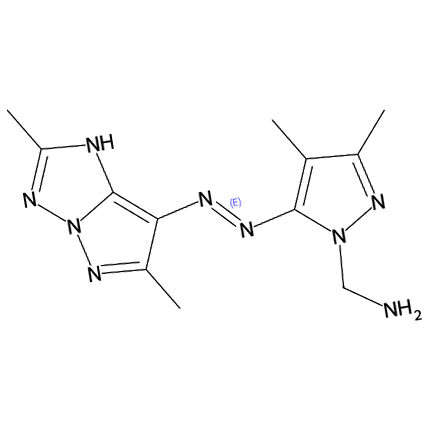 Cc1nn2nc(C)c(/N=N/c3c(C)c(C)nn3CN)c2[nH]1